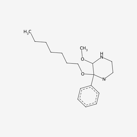 CCCCCCCOC1(c2ccccc2)[N]CCNC1OC